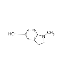 C#Cc1ccc2c(c1)CCN2C